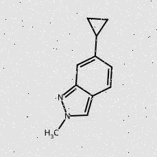 Cn1cc2ccc(C3CC3)cc2n1